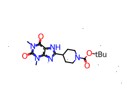 Cn1c(=O)c2[nH]c(C3CCN(C(=O)OC(C)(C)C)CC3)nc2n(C)c1=O